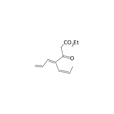 C=C/C=C(\C=C/C)C(=O)CC(=O)OCC